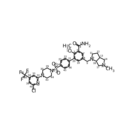 COc1c(C(N)=O)cc(CN2CCC3CN(C)CC32)cc1-c1ccc(S(=O)(=O)N2CCN(c3cc(C(F)(F)F)cc(Cl)n3)CC2)cc1